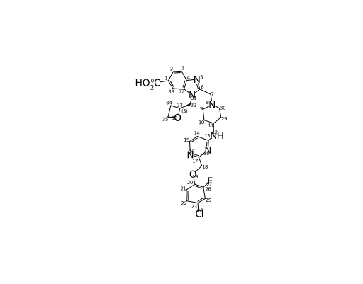 O=C(O)c1ccc2nc(CN3CCC(Nc4ccnc(COc5ccc(Cl)cc5F)n4)CC3)n(C[C@@H]3CCO3)c2c1